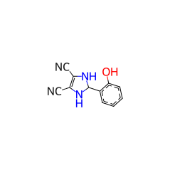 N#CC1=C(C#N)NC(c2ccccc2O)N1